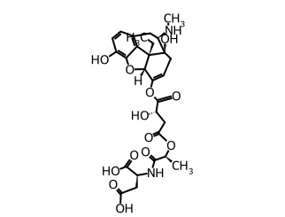 CC[C@]12c3c4ccc(O)c3O[C@H]1C(OC(=O)[C@@H](O)CC(=O)O[C@@H](C)C(=O)N[C@@H](CC(=O)O)C(=O)O)=CC[C@@]2(O)[C@H](NC)C4